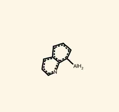 [AlH2][c]1cccc2cccnc12